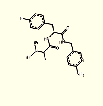 CC(C)N(C(C)C)C(C)C(=O)N[C@@H](Cc1ccc(F)cc1)C(=O)NCc1ccc(N)nc1